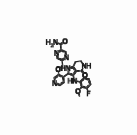 COc1c(F)cccc1Nc1c(-c2ccncc2OCc2cnc(C(N)=O)cn2)[nH]c2c1C(=O)NCC2